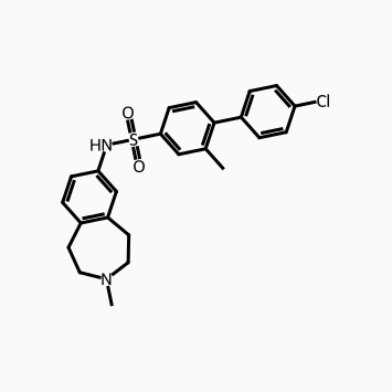 Cc1cc(S(=O)(=O)Nc2ccc3c(c2)CCN(C)CC3)ccc1-c1ccc(Cl)cc1